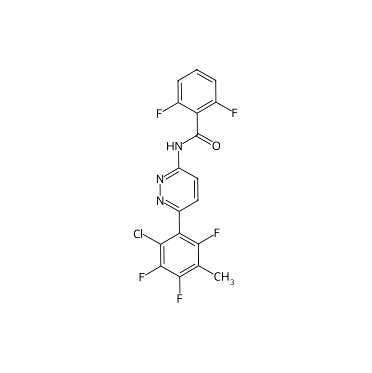 Cc1c(F)c(F)c(Cl)c(-c2ccc(NC(=O)c3c(F)cccc3F)nn2)c1F